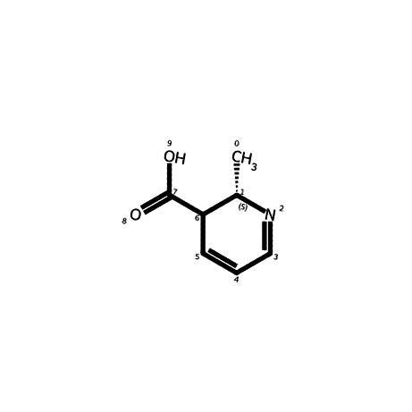 C[C@@H]1N=CC=CC1C(=O)O